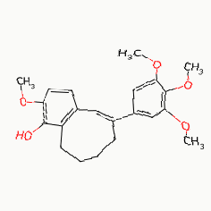 COc1ccc2c(c1O)CCCC/C(c1cc(OC)c(OC)c(OC)c1)=C\2